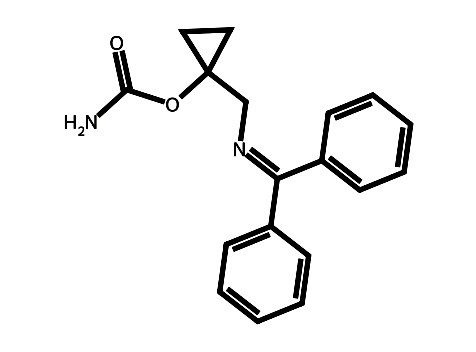 NC(=O)OC1(CN=C(c2ccccc2)c2ccccc2)CC1